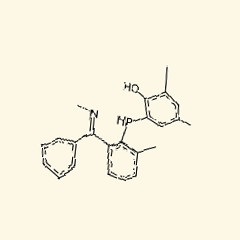 C/N=C(\c1ccccc1)c1cccc(C)c1Pc1cc(C)cc(C)c1O